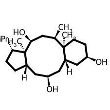 CC(C)[C@H]1CC[C@H]2C[C@H](O)C[C@H]3C[C@H](O)CC[C@]3(C)[C@H](C)C[C@H](O)[C@@]21C